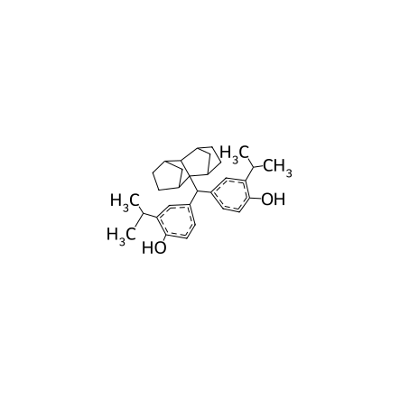 CC(C)c1cc(C(c2ccc(O)c(C(C)C)c2)C23C4CCC(C4)C2C2CCC3C2)ccc1O